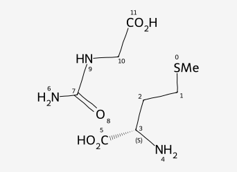 CSCC[C@H](N)C(=O)O.NC(=O)NCC(=O)O